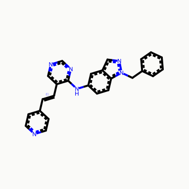 C(=C\c1cncnc1Nc1ccc2c(cnn2Cc2ccccc2)c1)/c1ccncc1